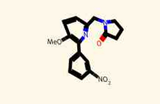 COc1ccc(CN2CCCC2=O)nc1-c1cccc([N+](=O)[O-])c1